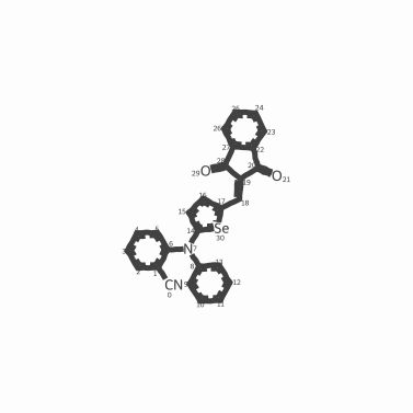 N#Cc1ccccc1N(c1ccccc1)c1ccc(C=C2C(=O)c3ccccc3C2=O)[se]1